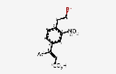 CC(=O)C(=CC(=O)O)c1ccc(CCBr)c([N+](=O)[O-])c1